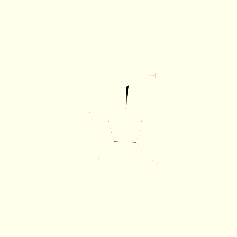 CCC(C)C1O[C@H](CO)[C@@H](O)[C@H]1F